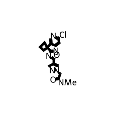 CNC(=O)Cn1cc(-c2nc(C3(c4ccc(Cl)nc4)CCC3)no2)cn1